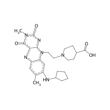 Cc1cc2nc3c(=O)n(C)c(=O)nc-3n(CCN3CCC(C(=O)O)CC3)c2cc1NC1CCCC1